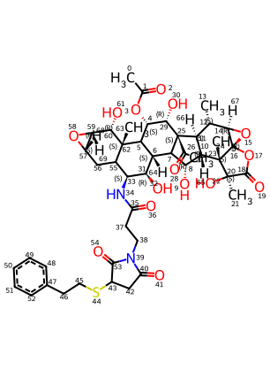 CC(=O)O[C@H]1C2[C@H](C3[C@@H](O)[C@@H]4[C@H]([C@H](C)[C@H]5O[C@]56OC(=O)[C@@](C)(O)[C@]46C)[C@@]3(C(C)=O)[C@H]1O)[C@@H](O)[C@@H](NC(=O)CCN1C(=O)CC(SCCc3ccccc3)C1=O)C1C[C@@H]3O[C@@H]3[C@H](O)[C@@]12C